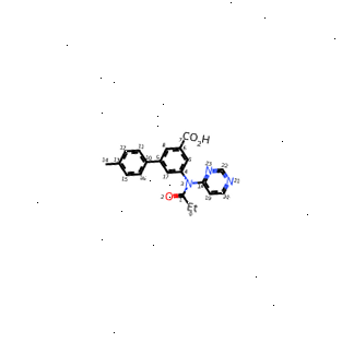 CCC(=O)N(c1cc(C(=O)O)cc(-c2ccc(C)cc2)c1)c1ccncn1